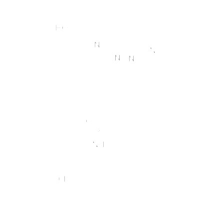 Cc1c(C#Cc2cnc3ccc(N4CC[C@H](O)C4)nn23)cccc1C(=O)Nc1cccc(C(F)(F)F)c1